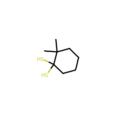 CC1(C)CCCCC1(S)S